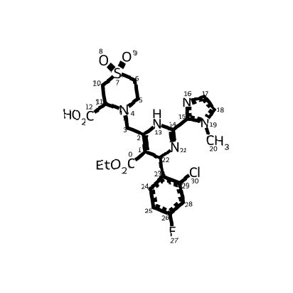 CCOC(=O)C1=C(CN2CCS(=O)(=O)CC2C(=O)O)NC(c2nccn2C)=NC1c1ccc(F)cc1Cl